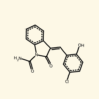 NC(=O)N1C(=O)C(=Cc2cc(Cl)ccc2O)c2cc[c]cc21